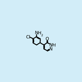 NC1=CC(c2ccn[nH]c2=O)CC=C1Cl